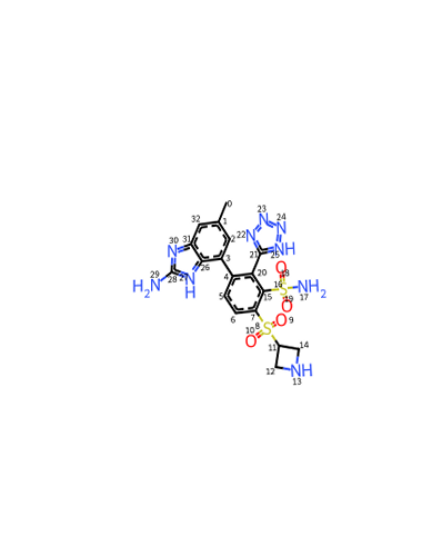 Cc1cc(-c2ccc(S(=O)(=O)C3CNC3)c(S(N)(=O)=O)c2-c2nnn[nH]2)c2[nH]c(N)nc2c1